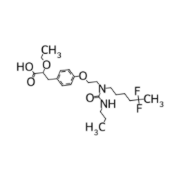 CCCNC(=O)N(CCCCC(C)(F)F)CCOc1ccc(CC(OCC)C(=O)O)cc1